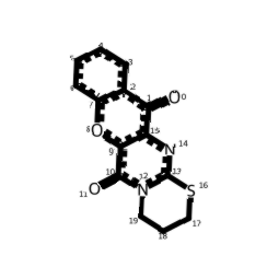 O=c1c2ccccc2oc2c(=O)n3c(nc12)SCCC3